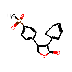 CS(=O)(=O)c1ccc(C2=C(C3=CC=CCC3)C(=O)OC2)cc1